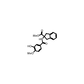 COC(=O)C1(NC(=O)c2ccc(OC)c(O)c2)Cc2ccccc2C1